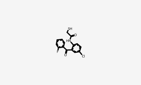 O=C(CS)Nc1ccc(Cl)cc1C(=O)c1ccccc1F